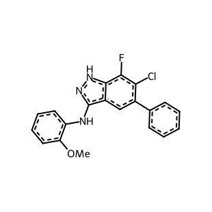 COc1ccccc1Nc1n[nH]c2c(F)c(Cl)c(-c3ccccc3)cc12